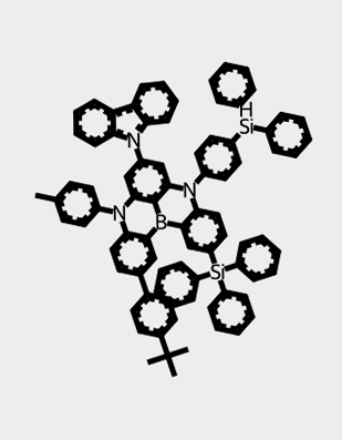 Cc1ccc(N2c3ccc(-c4ccc(C(C)(C)C)cc4)cc3B3c4cc([Si](c5ccccc5)(c5ccccc5)c5ccccc5)ccc4N(c4ccc([SiH](c5ccccc5)c5ccccc5)cc4)c4cc(-n5c6ccccc6c6ccccc65)cc2c43)cc1